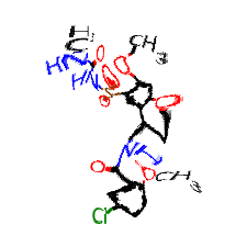 CCOc1cc2c(cc1S(=O)(=O)NC(=O)NC)C(CNC(=O)c1cc(Cl)ccc1OC)CCO2